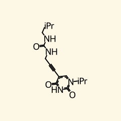 CC(C)CNC(=O)NCC#Cc1cn(C(C)C)c(=O)[nH]c1=O